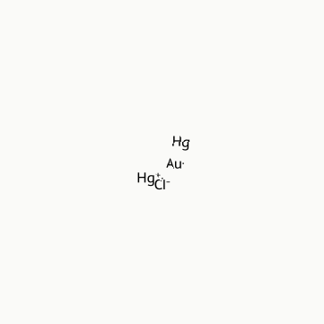 [Au].[Cl-].[Hg+].[Hg]